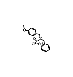 COc1ccc(C[S+](Cc2ccccc2)S(=O)(=O)O)cc1